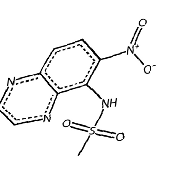 CS(=O)(=O)Nc1c([N+](=O)[O-])ccc2nccnc12